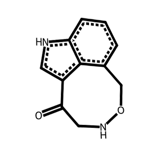 O=C1CNOCc2cccc3[nH]cc1c23